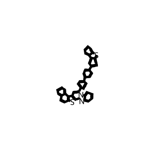 c1ccc2c(c1)ccc1sc3c(cc(-c4ccc(-c5ccc(-c6ccc7sc8ccccc8c7c6)cc5)cc4)n4c5ccccc5nc34)c12